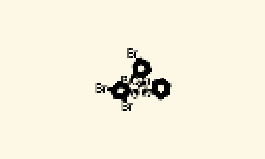 O=P(Oc1ccccc1)(Oc1ccc(Br)cc1Br)Oc1ccc(Br)cc1Br